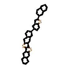 c1ccc2cc(-c3cc4cc(-c5ccc6cc7sc8c9cc%10ccccc%10cc9sc8c7cc6c5)ccc4s3)ccc2c1